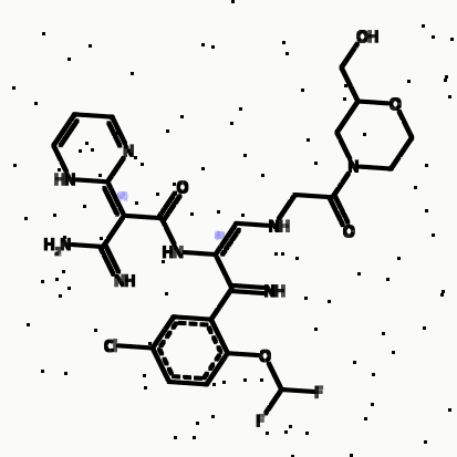 N=C(N)/C(C(=O)N/C(=C/NCC(=O)N1CCOC(CO)C1)C(=N)c1cc(Cl)ccc1OC(F)F)=C1/N=CC=CN1